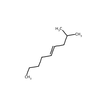 CCCCC=CCC(C)C